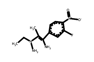 CCN(N)/C(C)=C(\N)c1ccc([N+](=O)[O-])c(F)c1